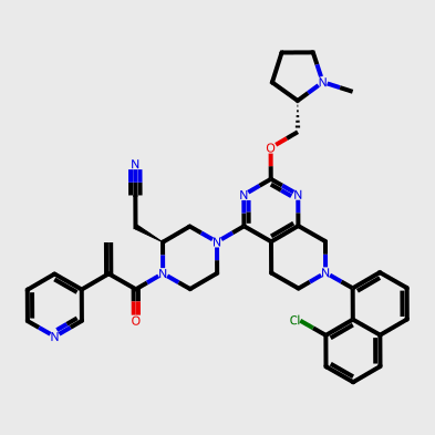 C=C(C(=O)N1CCN(c2nc(OC[C@@H]3CCCN3C)nc3c2CCN(c2cccc4cccc(Cl)c24)C3)C[C@@H]1CC#N)c1cccnc1